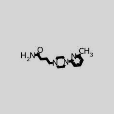 Cc1cccc(N2CCN(CCCC(N)=O)CC2)n1